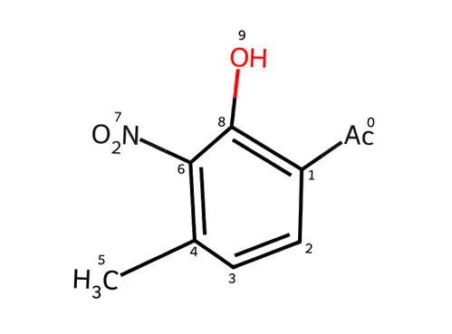 CC(=O)c1ccc(C)c([N+](=O)[O-])c1O